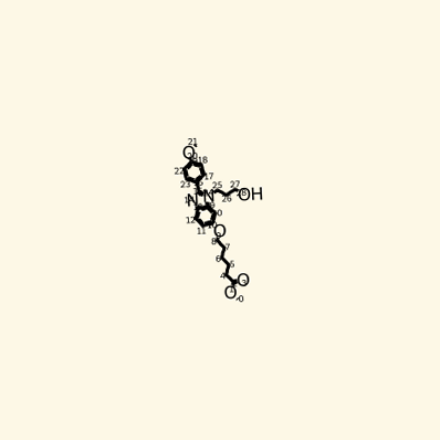 COC(=O)CCCCCOc1ccc2nc(-c3ccc(OC)cc3)n(CCCO)c2c1